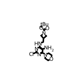 CC(C)(C)OC(=O)N1CC(CNc2nc(Cl)nc(N3CCOCC3)c2N)C1